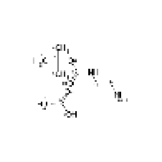 CC(=O)O.CC(C)(C)OC(=O)NCCN